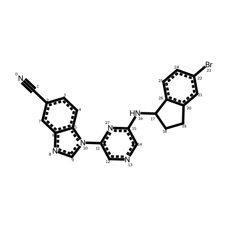 N#Cc1ccc2c(c1)ncn2-c1cncc(NC2CCc3cc(Br)ccc32)n1